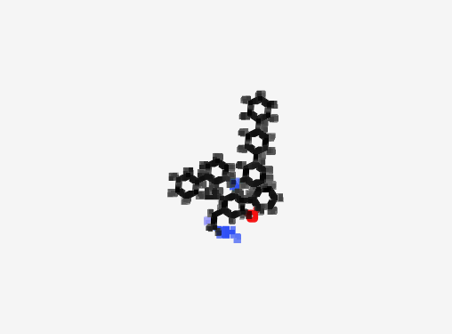 CCc1c(/C=C\N)cc2oc3ccccc3c2c1N(c1cccc(-c2ccccc2)c1)c1cccc(-c2ccc(-c3ccccc3)cc2)c1